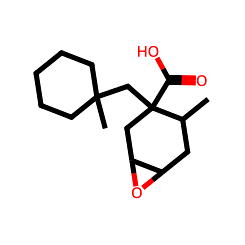 CC1CC2OC2CC1(CC1(C)CCCCC1)C(=O)O